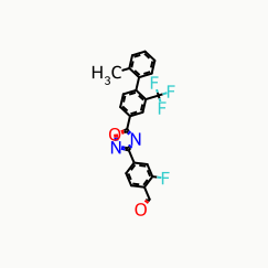 Cc1ccccc1-c1ccc(-c2nc(-c3ccc(C=O)c(F)c3)no2)cc1C(F)(F)F